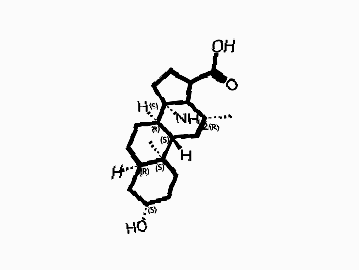 C[C@@H]1C[C@H]2[C@@H](CC[C@@H]3C[C@@H](O)CC[C@@]32C)[C@@]2(N)CCC(C(=O)O)C12